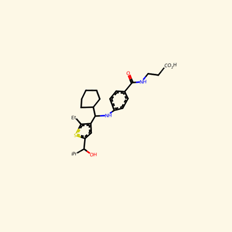 CCc1sc(C(O)C(C)C)cc1C(Nc1ccc(C(=O)NCCC(=O)O)cc1)C1CCCCC1